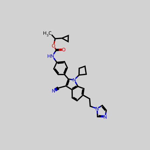 CC(OC(=O)Nc1ccc(-c2c(C#N)c3ccc(CCn4ccnc4)cc3n2C2CCC2)cc1)C1CC1